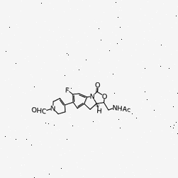 CC(=O)NCC1OC(=O)N2c3cc(F)c(C4=CCN(C=O)CC4)cc3C[C@@H]12